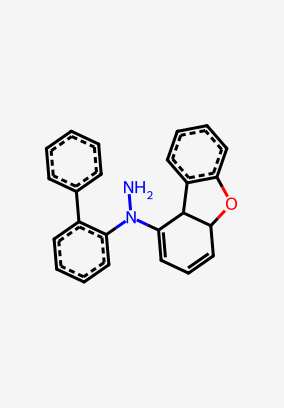 NN(C1=CC=CC2Oc3ccccc3C12)c1ccccc1-c1ccccc1